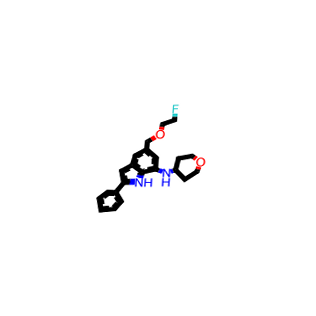 FCCOCc1cc(NC2CCOCC2)c2[nH]c(-c3ccccc3)cc2c1